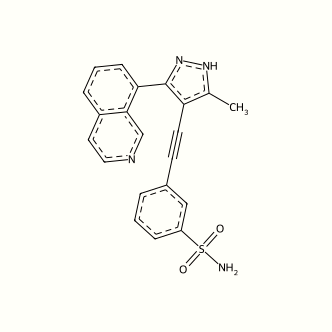 Cc1[nH]nc(-c2cccc3ccncc23)c1C#Cc1cccc(S(N)(=O)=O)c1